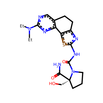 CCN(CC)c1ncc2c(n1)-c1sc(NC(=O)N3CCC[C@@]3(CO)C(N)=O)nc1CC2